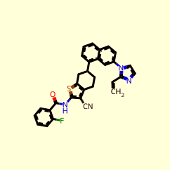 C=Cc1nccn1-c1ccc2cccc(C3CCc4c(sc(NC(=O)c5ccccc5F)c4C#N)C3)c2c1